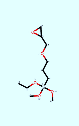 CCO[Si](CCCOCC1CO1)(OC)OC